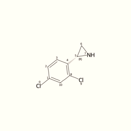 Clc1ccc([C@@H]2CN2)c(Cl)c1